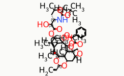 C=C[C@@H]1OC2C[C@H]3OC[C@@]3(OC(C)=O)[C@H]3[C@H](OC(=O)c4ccccc4)[C@]4(O)C[C@H](OC(=O)[C@@H](O)[C@H](CC(C)C)NC(=O)OC(C)(C)C)C(C)=C([C@H](C)[C@H](O1)[C@]23C)C4(C)C